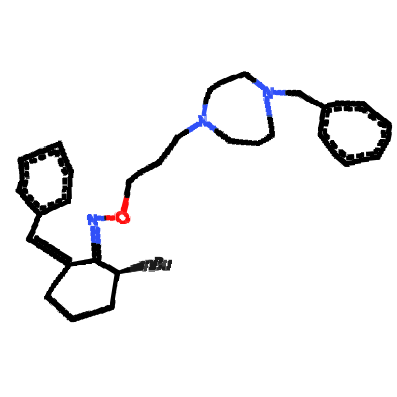 CCCC[C@H]1CCCC(=Cc2ccccc2)C1=NOCCCN1CCN(Cc2ccccc2)CC1